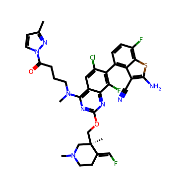 Cc1ccn(C(=O)CCCN(C)c2nc(OC[C@]3(C)CN(C)CC/C3=C\F)nc3c(F)c(-c4ccc(F)c5sc(N)c(C#N)c45)c(Cl)cc23)n1